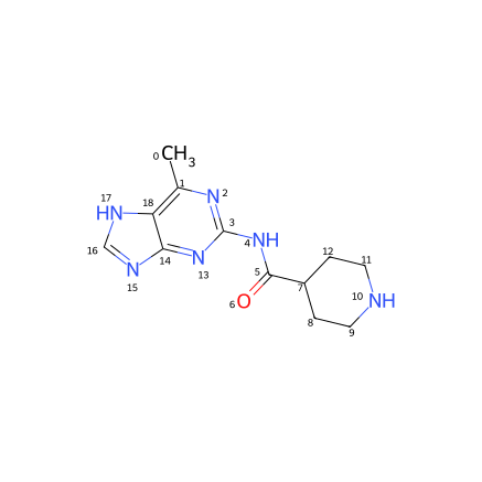 Cc1nc(NC(=O)C2CCNCC2)nc2nc[nH]c12